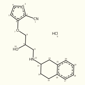 Cl.N#Cc1sccc1OCC(O)CNC1CCc2ccccc2C1